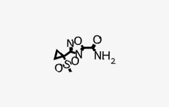 CS(=O)(=O)C1(c2noc(C(N)=O)n2)CC1